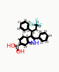 OB(O)c1ccc2c(C(CC(F)(F)F)c3ccccc3)c(-c3ccccc3)[nH]c2c1